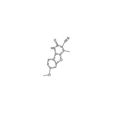 COc1ccc2c(c1)oc1c(C)c(C#N)c(=O)[nH]c12